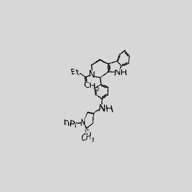 C=C(CC)N1CCc2c([nH]c3ccccc23)C1c1ccc(NC2C[C@H](C)N(CCC)C2)cc1